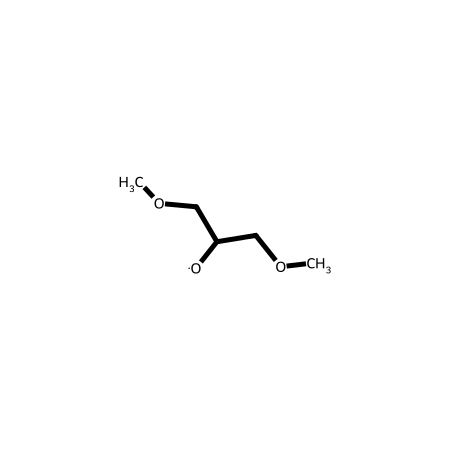 COCC([O])COC